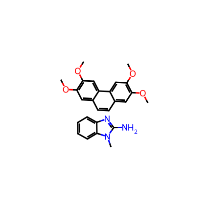 COc1cc2ccc3cc(OC)c(OC)cc3c2cc1OC.Cn1c(N)nc2ccccc21